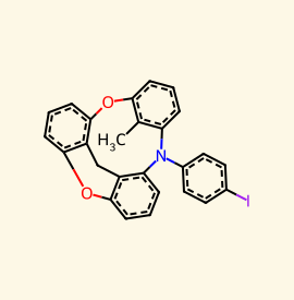 Cc1c2cccc1N(c1ccc(I)cc1)c1cccc3c1Cc1c(cccc1O3)O2